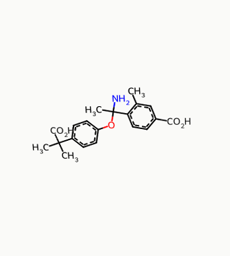 Cc1cc(C(=O)O)ccc1C(C)(N)Oc1ccc(C(C)(C)C(=O)O)cc1